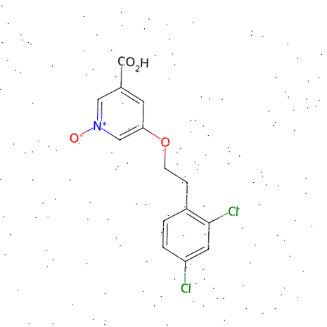 O=C(O)c1cc(OCCc2ccc(Cl)cc2Cl)c[n+]([O-])c1